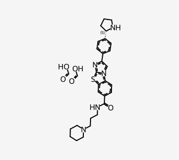 O=C(NCCCN1CCCCC1)c1ccc2c(c1)sc1nc(-c3ccc([C@@H]4CCCN4)cc3)cn12.O=CO.O=CO